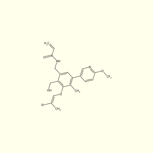 C=CC(=O)NCc1cc(-c2ccc(OC(F)(F)F)nc2)c(C)c(O/C=C(\C)CC)c1CO